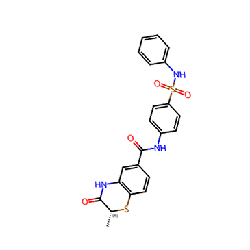 C[C@H]1Sc2ccc(C(=O)Nc3ccc(S(=O)(=O)Nc4ccccc4)cc3)cc2NC1=O